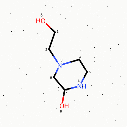 OCCN1CCNC(O)C1